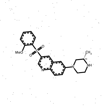 COc1ccccc1S(=O)(=O)c1cnc2ccc(N3CCN[C@@H](C)C3)cc2c1